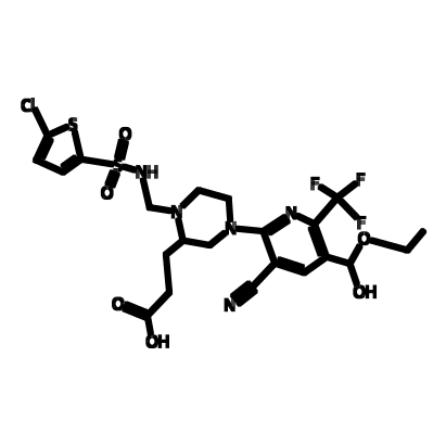 CCOC(O)c1cc(C#N)c(N2CCN(CNS(=O)(=O)c3ccc(Cl)s3)C(CCC(=O)O)C2)nc1C(F)(F)F